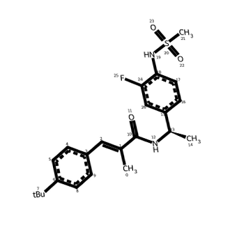 C/C(=C\c1ccc(C(C)(C)C)cc1)C(=O)N[C@H](C)c1ccc(NS(C)(=O)=O)c(F)c1